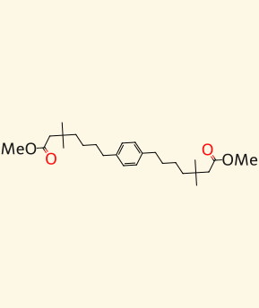 COC(=O)CC(C)(C)CCCCc1ccc(CCCCC(C)(C)CC(=O)OC)cc1